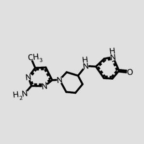 Cc1cc(N2CCCC(Nc3ccc(=O)[nH]c3)C2)nc(N)n1